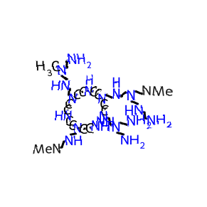 CNCCNCCN1CCNCCN(CCNCCN(C)CCN)CCNCCN(CCNCCN(CCNC)CCNCCN)CCN(CCN(CCN)CCN)NNCC1